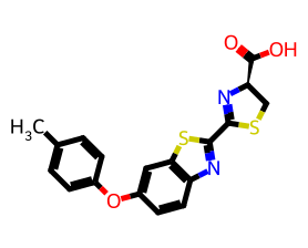 Cc1ccc(Oc2ccc3nc(C4=N[C@@H](C(=O)O)CS4)sc3c2)cc1